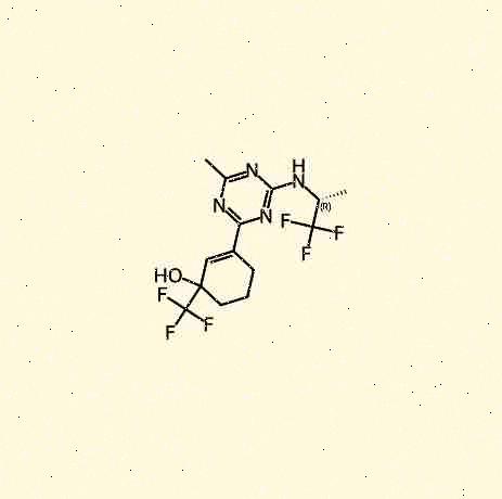 Cc1nc(N[C@H](C)C(F)(F)F)nc(C2=CC(O)(C(F)(F)F)CCC2)n1